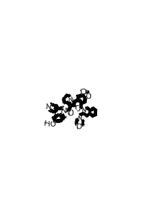 O=C(c1cc(-c2cc3c(cc2C(=O)N2Cc4ccccc4CC2CN2CCOCC2)OCO3)n2c1CCCC2)N(Cc1ccncc1)c1ccc(O)cc1